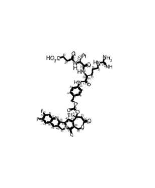 CC[C@@]1(OC(=O)OCc2ccc(NC(=O)[C@H](CCCNC(=N)N)NC(=O)[C@@H](NC(=O)CCC(=O)O)C(C)C)cc2)CC(=O)OCc2c1cc1n(c2=O)Cc2cc3cc(F)c(F)cc3nc2-1